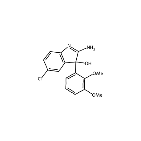 COc1cccc(C2(O)C(N)=Nc3ccc(Cl)cc32)c1OC